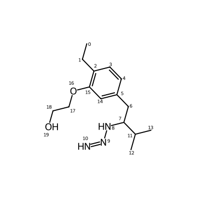 CCc1ccc(CC(NN=N)C(C)C)cc1OCCO